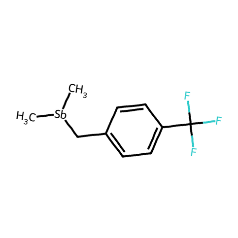 [CH3][Sb]([CH3])[CH2]c1ccc(C(F)(F)F)cc1